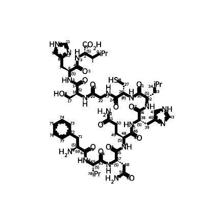 CC(C)C[C@H](NC(=O)[C@H](Cc1c[nH]cn1)NC(=O)[C@H](CO)NC(=O)CNC(=O)[C@H](CS)NC(=O)[C@H](CC(C)C)NC(=O)[C@H](Cc1c[nH]cn1)NC(=O)[C@H](CCC(N)=O)NC(=O)[C@H](CC(N)=O)NC(=O)[C@@H](NC(=O)[C@@H](N)Cc1ccccc1)C(C)C)C(=O)O